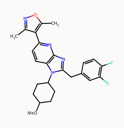 COC1CCC(n2c(Cc3ccc(F)c(F)c3)nc3nc(-c4c(C)noc4C)ccc32)CC1